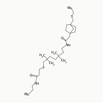 CC(C)(C)CCNC(=O)CCSCC(C)(C)CCC(C)(C)CCNC(=O)CC12CCC(CSCC(C)(C)C)(CC1)C2